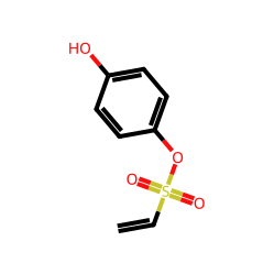 C=CS(=O)(=O)Oc1ccc(O)cc1